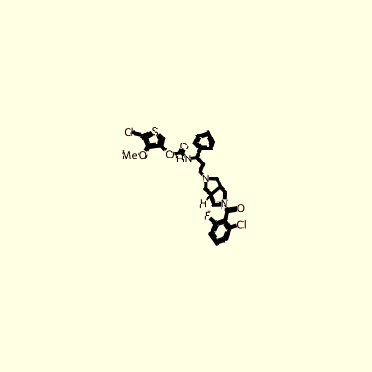 COc1c(OC(=O)NC(CCN2CC3CN(C(=O)c4c(F)cccc4Cl)C[C@@H]3C2)c2ccccc2)csc1Cl